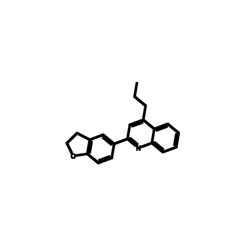 CCCc1cc(-c2ccc3c(c2)CCO3)nc2ccccc12